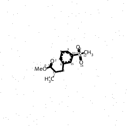 COC(=O)[C@@H](C)Cc1cccc(S(C)(=O)=O)c1